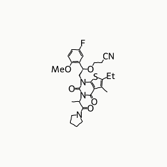 CCc1sc2c(c1C)c(=O)n(C(C)C(=O)N1CCCC1)c(=O)n2C[C@H](OCCC#N)c1cc(F)ccc1OC